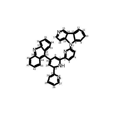 C1=C(c2cccc(-n3c4ccccc4c4cnccc43)n2)NC(c2ccccn2)C=C1c1c2ccccc2nc2ccccc12